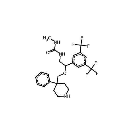 CNC(=O)NCC(OCC1(c2ccccc2)CCNCC1)c1cc(C(F)(F)F)cc(C(F)(F)F)c1